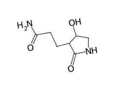 NC(=O)CCC1C(=O)NCC1O